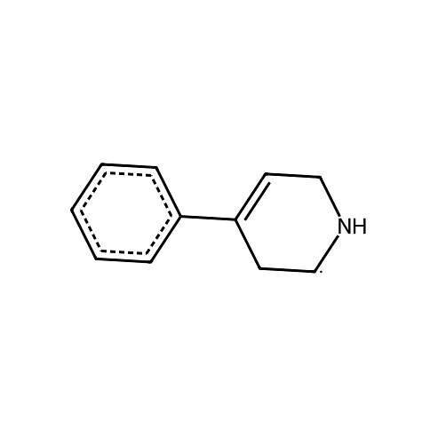 [CH]1CC(c2ccccc2)=CCN1